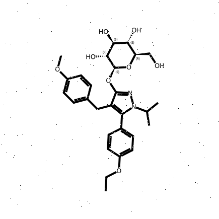 CCOc1ccc(-c2c(Cc3ccc(OC)cc3)c(O[C@@H]3O[C@H](CO)[C@@H](O)[C@H](O)[C@H]3O)nn2C(C)C)cc1